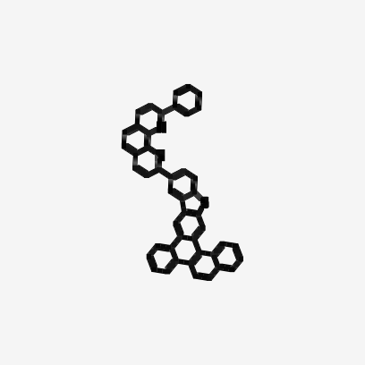 c1ccc(-c2ccc3ccc4ccc(-c5ccc6sc7cc8c(cc7c6c5)c5ccccc5c5ccc6ccccc6c58)nc4c3n2)cc1